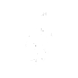 CNC(=O)c1cn2c3c(c(N4CCC(O)CC4)c(F)cc3c1=O)CC[C@@H]2C